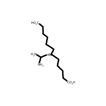 CCCCC(N)N.O=C(O)CCCCCCCCCCC(=O)O